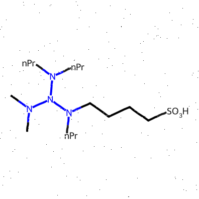 CCCN(CCC)N(N(C)C)N(CCC)CCCCS(=O)(=O)O